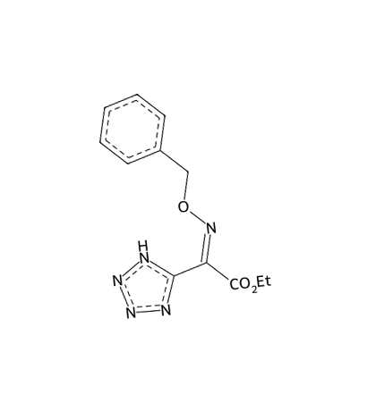 CCOC(=O)C(=NOCc1ccccc1)c1nnn[nH]1